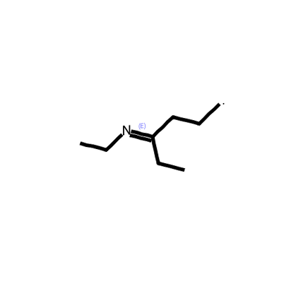 [CH2]CC/C(CC)=N/CC